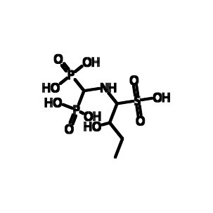 CCC(O)C(NC(P(=O)(O)O)P(=O)(O)O)S(=O)(=O)O